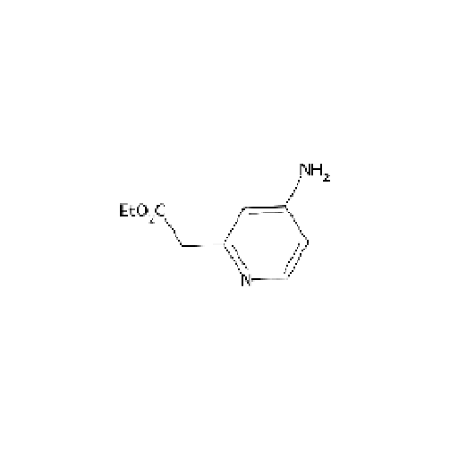 CCOC(=O)Cc1cc(N)ccn1